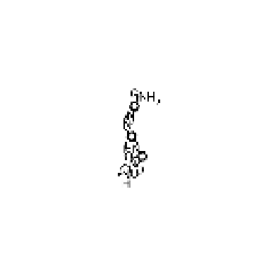 C=C1CCC(N2C(=O)c3cccc(NCc4ccc(CN5CCN(c6ccc(C(N)=O)cc6)CC5)cc4F)c3C2=O)C(=O)N1